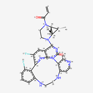 C=CC(=O)N1CCN(c2nc(=O)n3c4nc(c(F)cc24)-c2c(F)cccc2NCCNc2ccnc(C(C)C)c2-3)[C@H]2[C@@H](C)[C@H]21